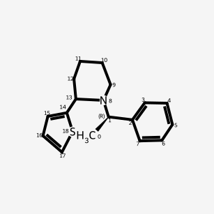 C[C@H](c1ccccc1)N1CCCCC1c1cccs1